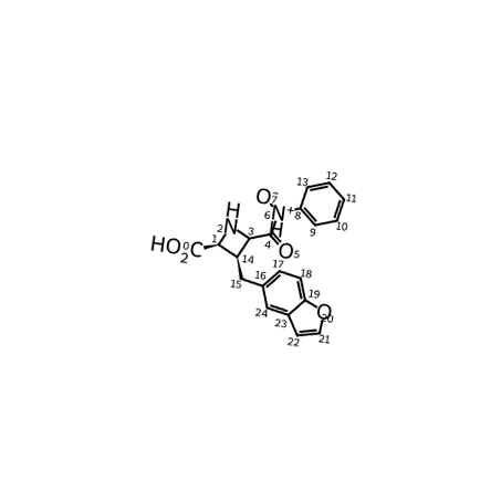 O=C(O)[C@H]1NC(C(=O)[NH+]([O-])c2ccccc2)[C@H]1Cc1ccc2occc2c1